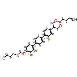 C=CCCC1OCC(c2ccc(-c3ccc(-c4ccc(OCCCCCC)c(F)c4F)cc3)c(F)c2)CO1